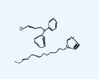 CCCCCCCCCCCCn1ccnc1.ClC=CCB(c1ccccc1)c1ccccc1